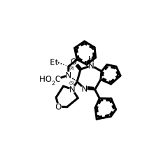 CC[C@H](c1ccccc1)N(C(=O)O)[C@@]1(N2CCOCC2)N=C(c2ccccc2)c2ccccc2NC1=O